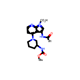 CC(C)C(=O)Nc1cn(C(=O)O)c2nccc(N3CCCC(NC(=O)OC(C)(C)C)C3)c12